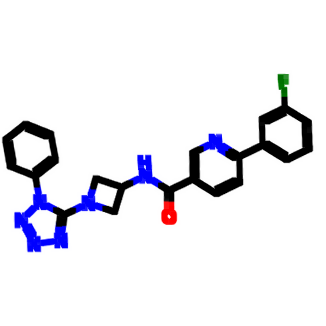 O=C(NC1CN(c2nnnn2-c2ccccc2)C1)c1ccc(-c2cccc(F)c2)nc1